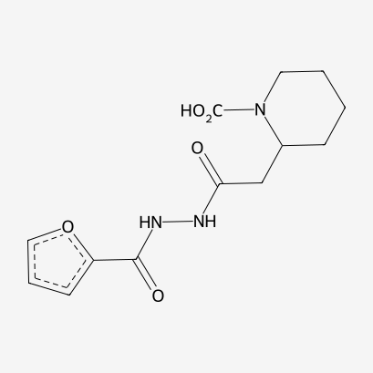 O=C(CC1CCCCN1C(=O)O)NNC(=O)c1ccco1